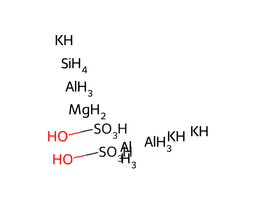 O=S(=O)(O)O.O=S(=O)(O)O.[AlH3].[AlH3].[AlH3].[KH].[KH].[KH].[MgH2].[SiH4]